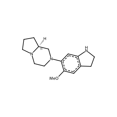 COc1cc2c(cc1N1CCN3CCC[C@H]3C1)NCC2